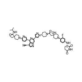 CCC1(C(=O)NC(C)C)CCN(c2ccc(-c3nc(-c4cnn(C5CCN(C(=O)CC6(O)CCN(c7ccc(N[C@H]8CCC(=O)NC8=O)cc7F)CC6)CC5)c4)cn4ncc(C#N)c34)cn2)CC1